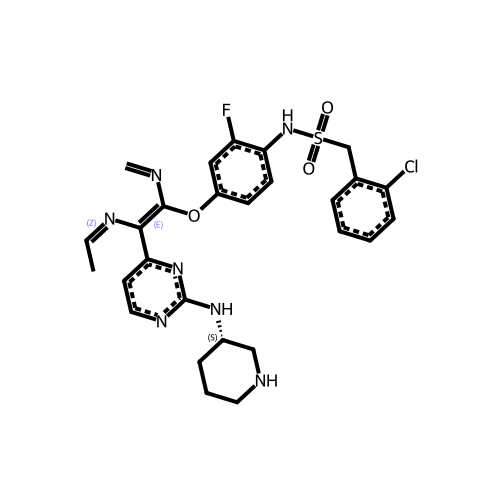 C=N/C(Oc1ccc(NS(=O)(=O)Cc2ccccc2Cl)c(F)c1)=C(\N=C/C)c1ccnc(N[C@H]2CCCNC2)n1